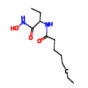 CCCCCCCC(=O)NC(CC)C(=O)NO